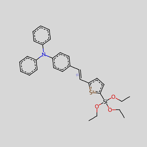 CCO[Si](OCC)(OCC)c1ccc(/C=C/c2ccc(N(c3ccccc3)c3ccccc3)cc2)s1